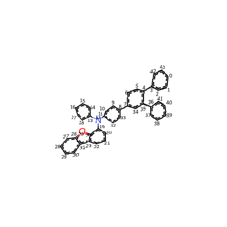 c1ccc(-c2ccc(-c3ccc(N(c4ccccc4)c4cccc5c4oc4ccccc45)cc3)cc2-c2ccccc2)cc1